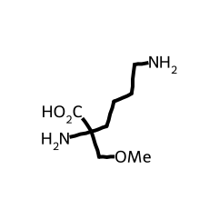 COCC(N)(CCCCN)C(=O)O